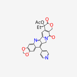 CC[C@@]1(OC(C)=O)C(=O)OCc2c1cc1n(c2=O)Cc2c-1nc1cc3c(cc1c2-c1ccncc1)OCO3